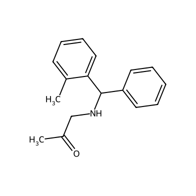 CC(=O)CNC(c1ccccc1)c1ccccc1C